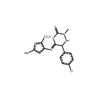 CN1NC(c2ccc(Cl)cc2)/C(=N/c2cc(C(C)(C)C)sc2C(=O)O)SC1=S